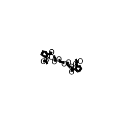 CC(=O)Oc1ccccc1C(=O)OCC(=O)OCCOC(=O)COC(=O)c1ccccc1OC(C)=O